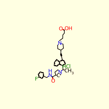 CC(c1ccc(C#CC2CCN(CCCCC(=O)O)CC2)c2ccccc12)N1CCC(C(=O)NCc2cccc(F)c2)CC1.Cl